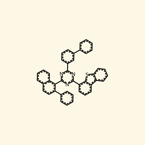 c1ccc(-c2cccc(-c3nc(-c4c(-c5ccccc5)ccc5ccccc45)nc(-c4cccc5c4sc4ccccc45)n3)c2)cc1